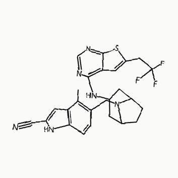 Cc1c(CN2C3CCC2CC(Nc2ncnc4sc(CC(F)(F)F)cc24)C3)ccc2[nH]c(C#N)cc12